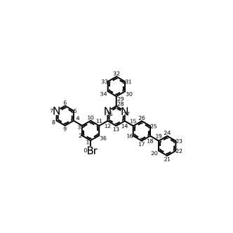 Brc1cc(-c2ccncc2)cc(-c2cc(-c3ccc(-c4ccccc4)cc3)nc(-c3ccccc3)n2)c1